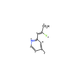 Cc1ccnc(C=C(F)C(=O)O)c1